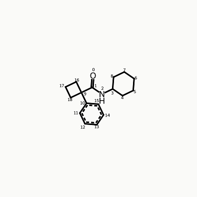 O=C(NC1CCCCC1)C1(c2ccccc2)CCC1